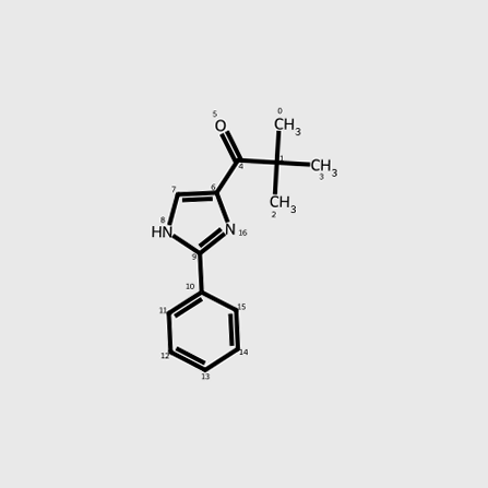 CC(C)(C)C(=O)c1c[nH]c(-c2ccccc2)n1